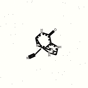 N#CN1Bc2nc3nc1[nH]c(=O)c3[nH]2